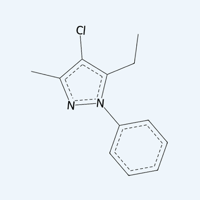 CCc1c(Cl)c(C)nn1-c1ccccc1